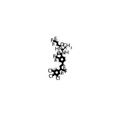 CC[C@H](NC(=O)CCC(F)(F)F)NC(=O)c1ccc(C=CC(c2cc(Cl)c(Cl)c(Cl)c2)C(F)(F)F)cc1C(F)(F)F